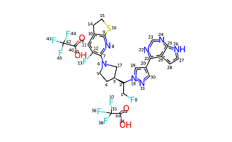 FCC([C@H]1CCN(c2nc3c(cc2F)CCS3)C1)n1cc(-c2ncnc3[nH]ccc23)cn1.O=C(O)C(F)(F)F.O=C(O)C(F)(F)F